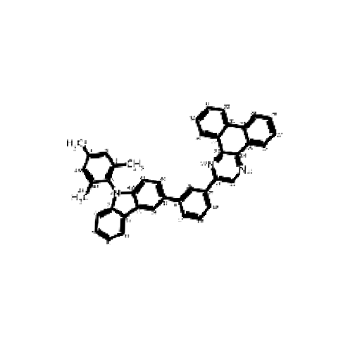 Cc1cc(C)c(-n2c3ccccc3c3cc(-c4cccc(-c5cnc6c7ccccc7c7ccccc7c6n5)c4)ccc32)c(C)c1